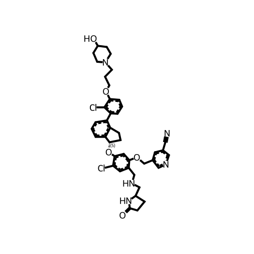 N#Cc1cncc(COc2cc(O[C@H]3CCc4c(-c5cccc(OCCCN6CCC(O)CC6)c5Cl)cccc43)c(Cl)cc2CNCC2CCC(=O)N2)c1